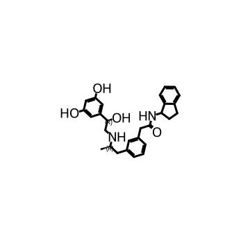 C[C@H](Cc1cccc(CC(=O)NC2CCc3ccccc32)c1)NC[C@H](O)c1cc(O)cc(O)c1